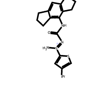 CC(C)c1csc(/S(N)=N/C(=O)Nc2c3c(cc4c2CCC4)CCC3)c1